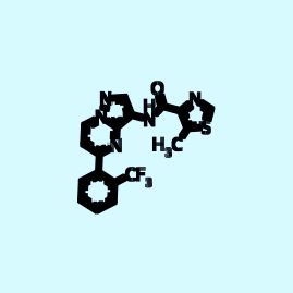 Cc1scnc1C(=O)Nc1cnn2ccc(-c3ccccc3C(F)(F)F)nc12